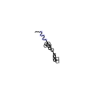 CCCCC/C=C\C/C=C\C/C=C\C/C=C\C/C=C\CCC(=O)OCN(C)c1cc(OCCCCN2CCN(c3cccc(Cl)c3Cl)CC2)ccc1CCC=O